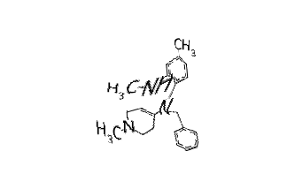 CNc1cc(C)ccc1N(Cc1ccccc1)C1=CCN(C)CC1